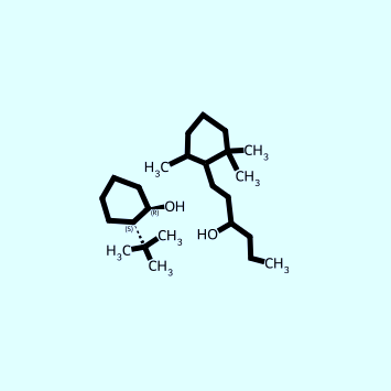 CC(C)(C)[C@@H]1CCCC[C@H]1O.CCCC(O)CCC1C(C)CCCC1(C)C